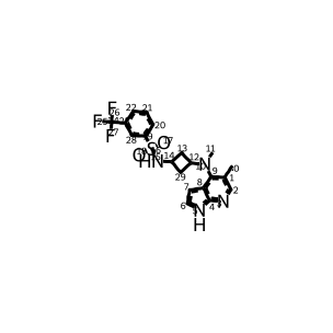 [CH2]c1cnc2[nH]ccc2c1N(C)C1CC(NS(=O)(=O)c2cccc(C(F)(F)F)c2)C1